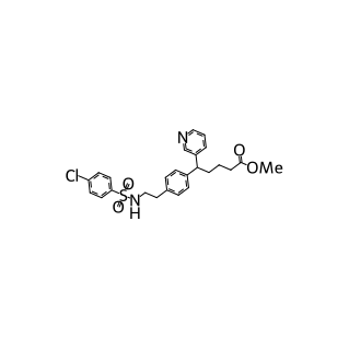 COC(=O)CCCC(c1ccc(CCNS(=O)(=O)c2ccc(Cl)cc2)cc1)c1cccnc1